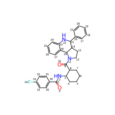 O=C(NC1CCCCC1C(=O)N1CCC2C(c3ccccc3)Nc3ccccc3C21)c1ccc(F)cc1